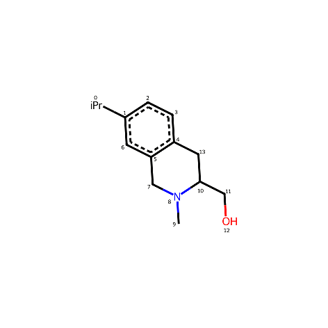 CC(C)c1ccc2c(c1)CN(C)C(CO)C2